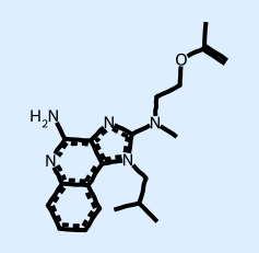 C=C(C)OCCN(C)c1nc2c(N)nc3ccccc3c2n1CC(C)C